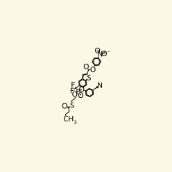 CCCC(=O)SCCOP(=O)(Oc1cccc(C#N)c1)C(F)(F)c1ccc2sc(C(=O)Oc3ccc([N+](=O)[O-])cc3)cc2c1